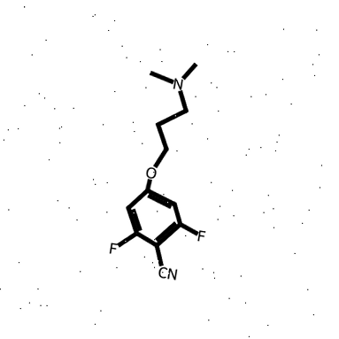 CN(C)CCCOc1cc(F)c(C#N)c(F)c1